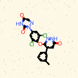 Cc1cccc(-c2cc(=O)[nH]nc2Oc2c(Cl)cc(-n3ncc(=O)[nH]c3=O)cc2Cl)c1